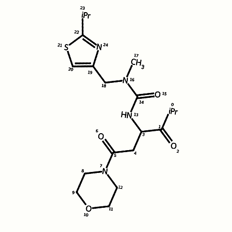 CC(C)C(=O)C(CC(=O)N1CCOCC1)NC(=O)N(C)Cc1csc(C(C)C)n1